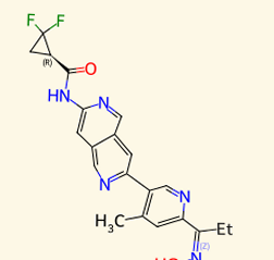 CC/C(=N/O)c1cc(C)c(-c2cc3cnc(NC(=O)[C@H]4CC4(F)F)cc3cn2)cn1